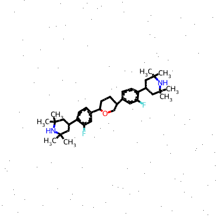 CC1(C)CC(c2ccc(C3CCC(c4ccc(C5CC(C)(C)NC(C)(C)C5)c(F)c4)OC3)cc2F)CC(C)(C)N1